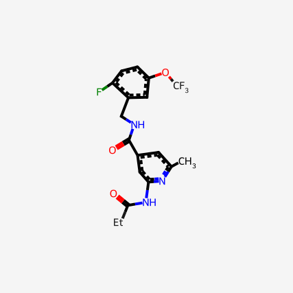 CCC(=O)Nc1cc(C(=O)NCc2cc(OC(F)(F)F)ccc2F)cc(C)n1